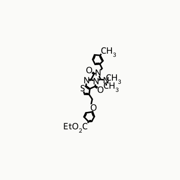 CCOC(=O)c1ccc(OCCc2csc3nc4n(c(=O)c23)C(N(C)C)N(Cc2cccc(C)c2)C4=O)cc1